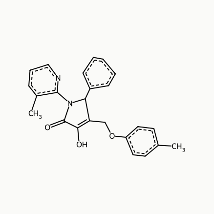 Cc1ccc(OCC2=C(O)C(=O)N(c3ncccc3C)C2c2ccccc2)cc1